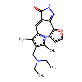 CCN(CC)Cc1c(C)[nH]c(/C=C2/C(=O)NN=C2c2ccco2)c1C